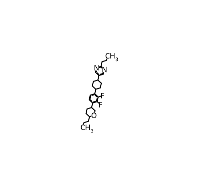 CCCc1ncc(C2CCC(c3ccc(C4CCC(CCC)OC4)c(F)c3F)CC2)cn1